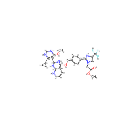 COC(=O)Cn1cc(C(F)(F)F)nc1-c1ccc(COc2nc(-c3c(OC)ncnc3C3CC3)nc3ncccc23)cc1